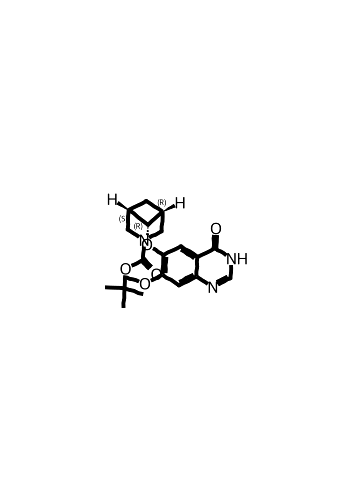 COc1cc2nc[nH]c(=O)c2cc1O[C@H]1[C@@H]2C[C@H]1CN(C(=O)OC(C)(C)C)C2